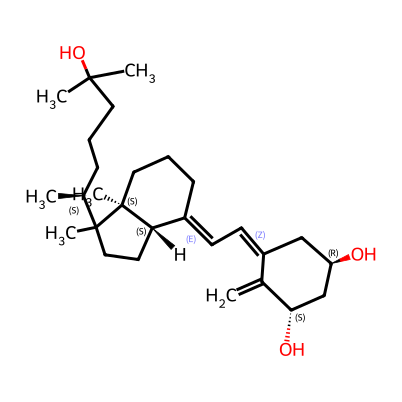 C=C1/C(=C\C=C2/CCC[C@@]3(C)[C@H]2CCC3(C)[C@@H](C)CCCC(C)(C)O)C[C@@H](O)C[C@@H]1O